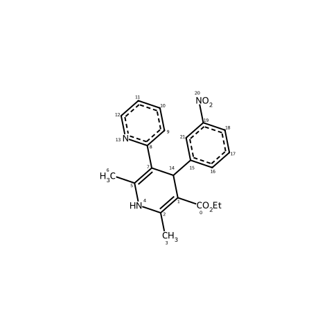 CCOC(=O)C1=C(C)NC(C)=C(c2ccccn2)C1c1cccc([N+](=O)[O-])c1